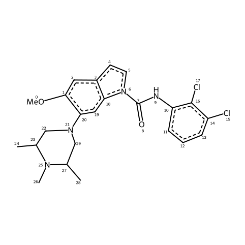 COc1cc2ccn(C(=O)Nc3cccc(Cl)c3Cl)c2cc1N1CC(C)N(C)C(C)C1